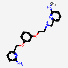 CNc1cccc(CNCCOc2cccc(OCc3cccc(N)n3)c2)n1